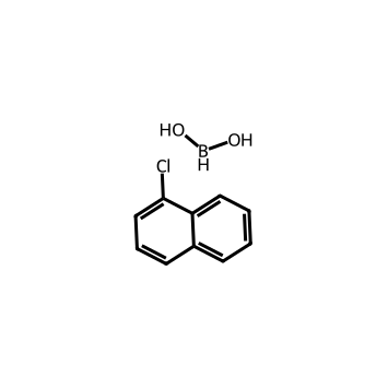 Clc1cccc2ccccc12.OBO